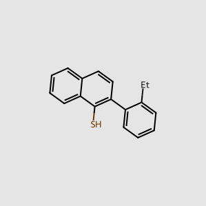 CCc1ccccc1-c1ccc2ccccc2c1S